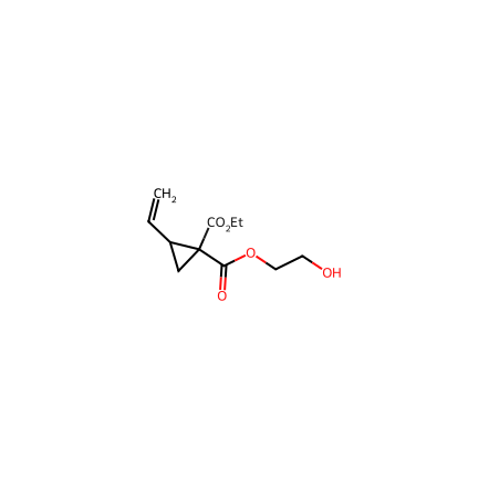 C=CC1CC1(C(=O)OCC)C(=O)OCCO